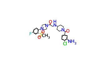 CS(=O)(=O)c1cc(F)ccc1N1CCN(C(=O)CNC2CCN(C(=O)c3ccc(Cl)c(N)c3)CC2)CC1